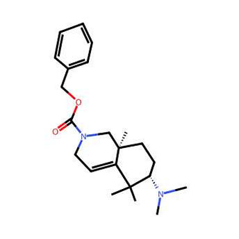 CN(C)[C@H]1CC[C@]2(C)CN(C(=O)OCc3ccccc3)CC=C2C1(C)C